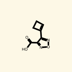 O=C(O)c1nonc1C1=CCC1